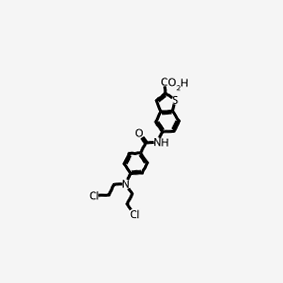 O=C(Nc1ccc2sc(C(=O)O)cc2c1)c1ccc(N(CCCl)CCCl)cc1